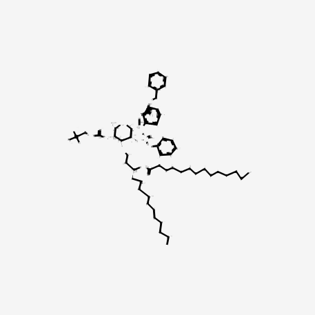 CCCCCCCCCCCCCC(=O)O[C@@H](CCCCCCCCCCC)CCO[C@@H]1[C@H](NC(=O)OCC(Cl)(Cl)Cl)[C@@H](O)O[C@H](COC(=O)OCc2ccccc2)[C@H]1OP(=O)(Oc1ccccc1)Oc1ccccc1